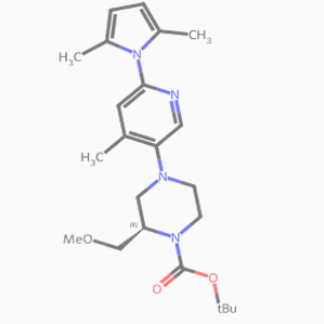 COC[C@H]1CN(c2cnc(-n3c(C)ccc3C)cc2C)CCN1C(=O)OC(C)(C)C